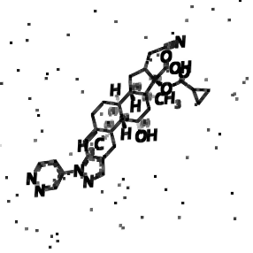 C[C@]12Cc3cnn(-c4ccnnc4)c3C=C1CC[C@@H]1[C@@H]2[C@@H](O)C[C@@]2(C)[C@H]1CC(CC#N)[C@]2(OC(=O)C1CC1)C(=O)O